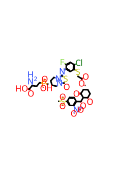 COC(=O)CSc1cc(/N=c2\sc(=O)n3n2CCCC3)c(F)cc1Cl.CP(=O)(O)CCC(N)C(=O)O.CS(=O)(=O)c1ccc(C(=O)C2C(=O)CCCC2=O)c([N+](=O)[O-])c1